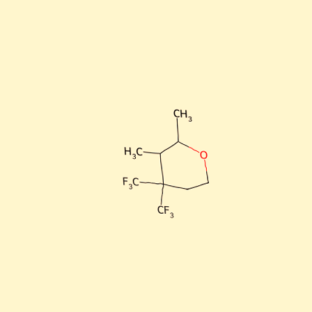 CC1OCCC(C(F)(F)F)(C(F)(F)F)C1C